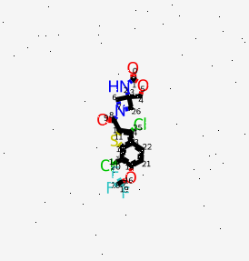 O=C1NC2(CO1)CN(C(=O)c1sc3c(Cl)c(OC(F)(F)F)ccc3c1Cl)C2